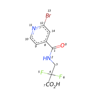 O=C(NCC(F)(F)C(=O)O)c1ccnc(Br)c1